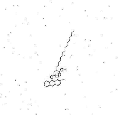 CCCCCCCCCCCCCCCCC(CC(=O)Oc1c2ccccc2cc2ccc(CC)cc12)C(=O)O